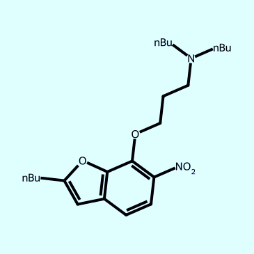 CCCCc1cc2ccc([N+](=O)[O-])c(OCCCN(CCCC)CCCC)c2o1